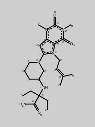 CCC(CC)(NC1CCCN(c2nc3c(c(=O)n(C)c(=O)n3C)n2CC=C(C)C)C1)C(N)=O